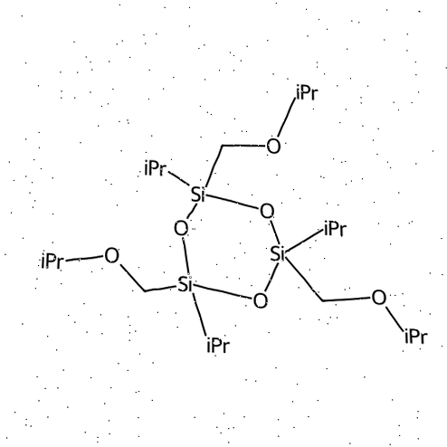 CC(C)OC[Si]1(C(C)C)O[Si](COC(C)C)(C(C)C)O[Si](COC(C)C)(C(C)C)O1